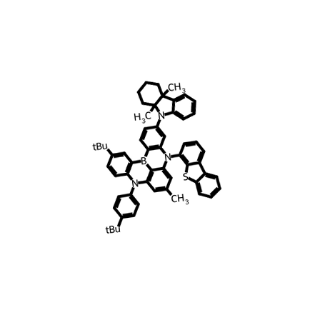 Cc1cc2c3c(c1)N(c1cccc4c1sc1ccccc14)c1cc(N4c5ccccc5C5(C)CCCCC45C)ccc1B3c1cc(C(C)(C)C)ccc1N2c1ccc(C(C)(C)C)cc1